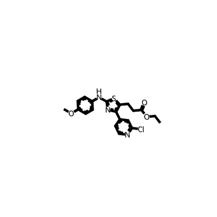 CCOC(=O)CCc1sc(Nc2ccc(OC)cc2)nc1-c1ccnc(Cl)c1